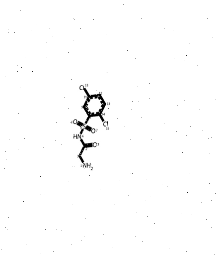 NCC(=O)NS(=O)(=O)c1cc(Cl)ccc1Cl